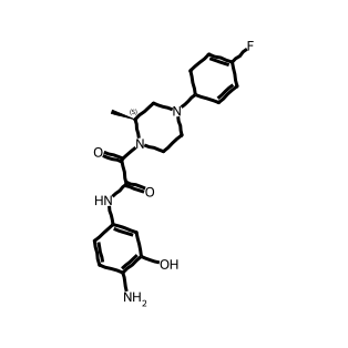 C[C@H]1CN(C2C=CC(F)=CC2)CCN1C(=O)C(=O)Nc1ccc(N)c(O)c1